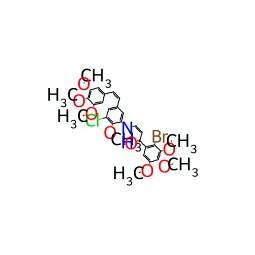 COc1cc(/C=C\c2cc(Cl)c(OC)c(N/C=C\C(=O)c3cc(OC)c(OC)c(OC)c3Br)c2)cc(OC)c1OC